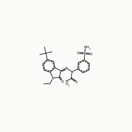 CCN1C(=O)/C(=N\N(C(N)=S)c2cccc(S(N)(=O)=O)c2)c2cc(C(C)(C)C)ccc21